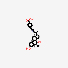 CC[C@H]1[C@@H](O)C2C3CC[C@H]([C@H](C)C/C=C/c4ccc(C(=O)O)cc4)[C@@]3(C)CCC2[C@@]2(C)CC[C@@H](O)C[C@@H]12